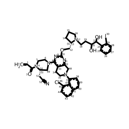 C=CC(=O)N1CCN(c2nc(OC[C@@H]3CCCN3CCC(O)C(O)c3ccccc3I)nc3c2CCN(c2cccc4cccc(Cl)c24)C3)C[C@@H]1CC#N